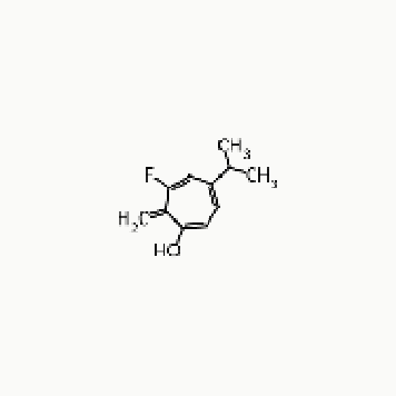 C=C1C(O)=CC=C(C(C)C)C=C1F